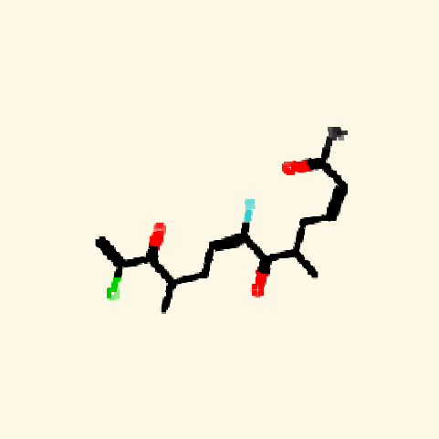 C=C(Cl)C(=O)C(C)C/C=C(/F)C(=O)C(C)C/C=C\C(=O)C(C)C